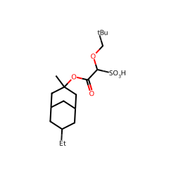 CCC1CC2CC(C1)CC(C)(OC(=O)C(OCC(C)(C)C)S(=O)(=O)O)C2